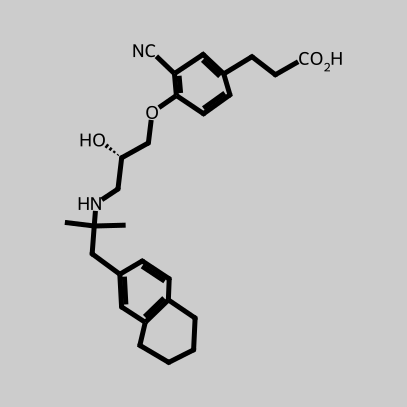 CC(C)(Cc1ccc2c(c1)CCCC2)NC[C@H](O)COc1ccc(CCC(=O)O)cc1C#N